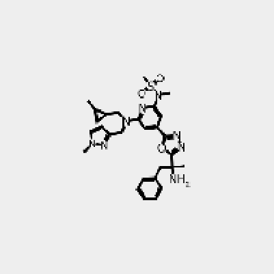 CC1CC1CN(Cc1ccn(C)n1)c1cc(-c2nnc([C@](C)(N)Cc3ccccc3)o2)cc(N(C)S(C)(=O)=O)n1